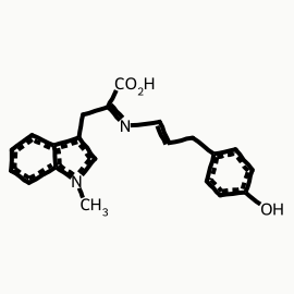 Cn1cc(CC(=NC=CCc2ccc(O)cc2)C(=O)O)c2ccccc21